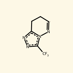 FC(F)(F)c1nnc2n1N=[C]CC2